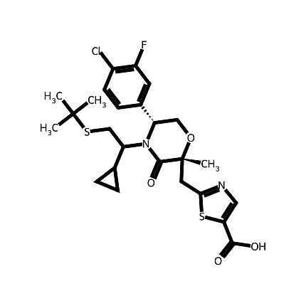 CC(C)(C)SCC(C1CC1)N1C(=O)[C@@](C)(Cc2ncc(C(=O)O)s2)OC[C@H]1c1ccc(Cl)c(F)c1